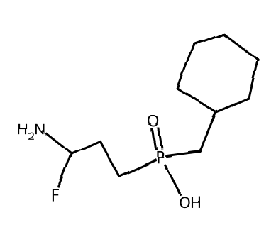 NC(F)CCP(=O)(O)CC1CCCCC1